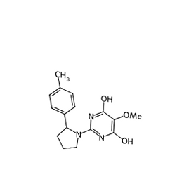 COc1c(O)nc(N2CCCC2c2ccc(C)cc2)nc1O